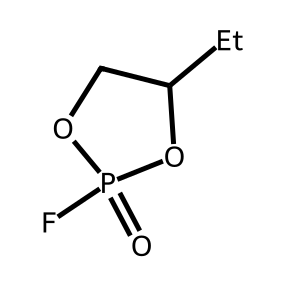 CCC1COP(=O)(F)O1